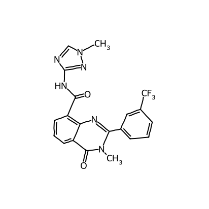 Cn1cnc(NC(=O)c2cccc3c(=O)n(C)c(-c4cccc(C(F)(F)F)c4)nc23)n1